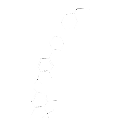 CC[C@H]1CC[C@H](C2CCC(c3ccc(C(F)(F)Oc4cc(F)c(C(F)(F)F)c(F)c4)c(F)c3)CC2)CC1